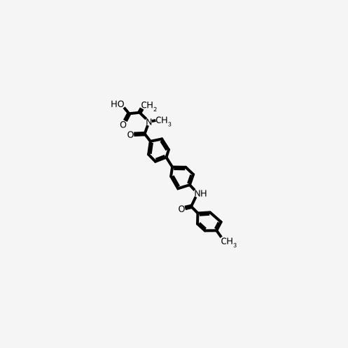 C=C(C(=O)O)N(C)C(=O)c1ccc(-c2ccc(NC(=O)c3ccc(C)cc3)cc2)cc1